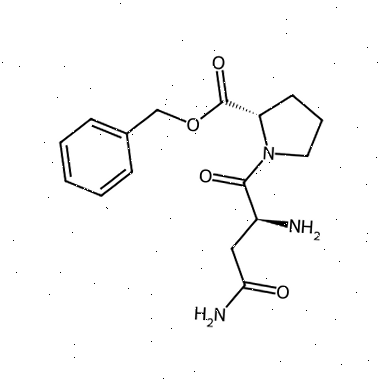 NC(=O)C[C@H](N)C(=O)N1CCC[C@H]1C(=O)OCc1ccccc1